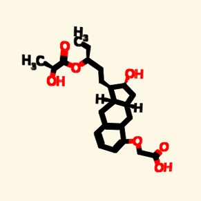 CC[C@@H](CC[C@@H]1[C@H]2Cc3cccc(OCC(=O)O)c3C[C@H]2C[C@H]1O)OC(=O)[C@H](C)O